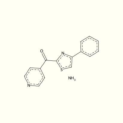 N.O=C(c1ccncc1)c1nc(-c2ccccc2)cs1